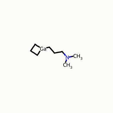 CN(C)CC[CH2][Ga]1[CH2]C[CH2]1